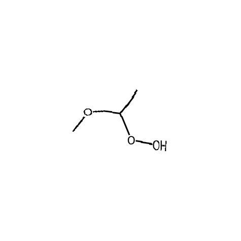 COC(C)OO